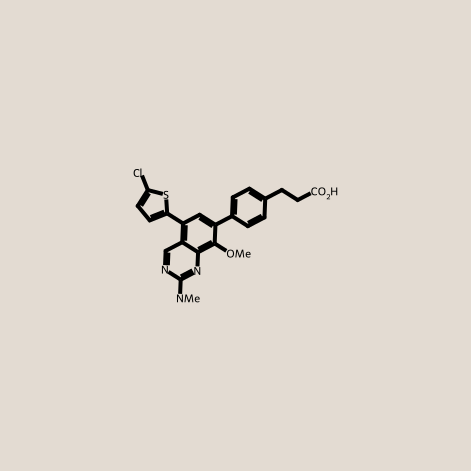 CNc1ncc2c(-c3ccc(Cl)s3)cc(-c3ccc(CCC(=O)O)cc3)c(OC)c2n1